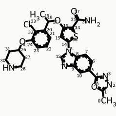 Cc1nnc(-c2ccc3c(c2)ncn3-c2cc(OC(C)c3cccc(OC4CCNCC4)c3Cl)c(C(N)=O)s2)o1